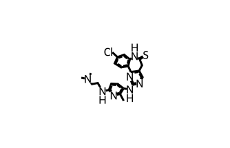 Cc1nc(NCCN(C)C)ccc1Nc1ncc2c(n1)-c1ccc(Cl)cc1NC(=S)C2